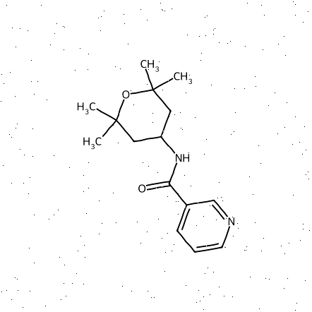 CC1(C)CC(NC(=O)c2cc[c]nc2)CC(C)(C)O1